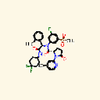 Cc1ccccc1C(C(=O)NC1CCC(F)(F)CC1)N(C(=O)[C@@H]1CCC(=O)N1c1cc(C#N)ccn1)c1cc(F)cc(S(C)(=O)=O)c1